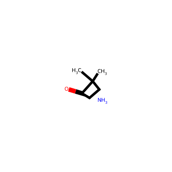 CC1(C)CCC1=O.N